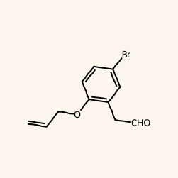 C=CCOc1ccc(Br)cc1CC=O